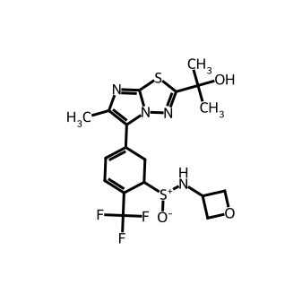 Cc1nc2sc(C(C)(C)O)nn2c1C1=CC=C(C(F)(F)F)C([S+]([O-])NC2COC2)C1